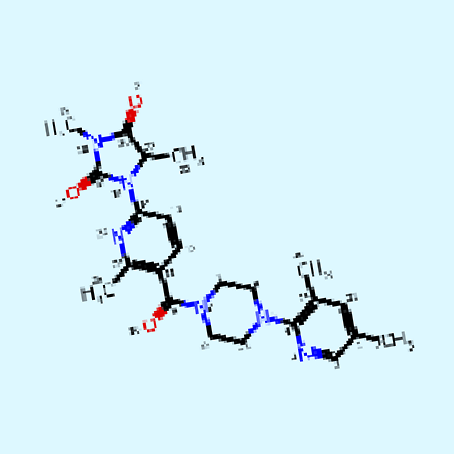 Cc1cnc(N2CCN(C(=O)c3ccc(N4C(=O)N(C)C(=O)C4C)nc3C)CC2)c(C)c1